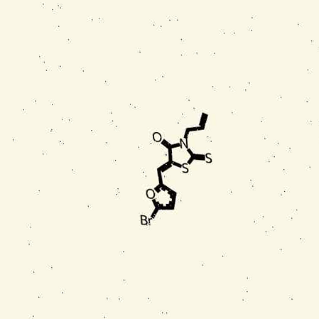 C=CCN1C(=O)C(=Cc2ccc(Br)o2)SC1=S